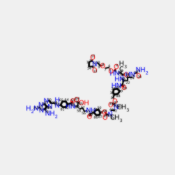 C[C@H](NC(=O)OCCOCCN1C(=O)C=CC1=O)C(=O)N[C@@H](CCCNC(N)=O)C(=O)Nc1ccc(COC(=O)N(C)CCN(C)C(=O)Oc2ccc(C(=O)NCCC[C@H](NC(=O)c3ccc(NCc4cnc5nc(N)nc(N)c5n4)cc3)C(=O)O)cc2)cc1